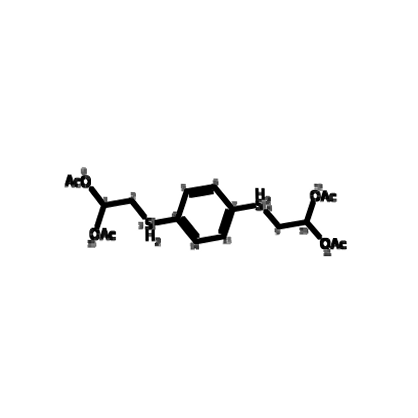 CC(=O)OC(C[SiH2]c1ccc([SiH2]CC(OC(C)=O)OC(C)=O)cc1)OC(C)=O